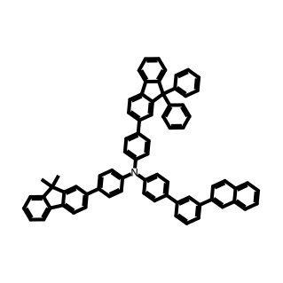 CC1(C)c2ccccc2-c2ccc(-c3ccc(N(c4ccc(-c5cccc(-c6ccc7ccccc7c6)c5)cc4)c4ccc(-c5ccc6c(c5)C(c5ccccc5)(c5ccccc5)c5ccccc5-6)cc4)cc3)cc21